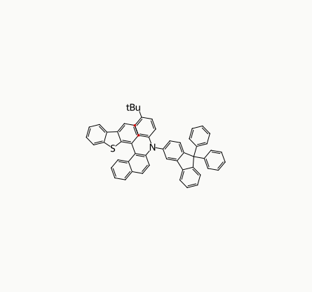 CC(C)(C)c1ccc(N(c2ccc3c(c2)-c2ccccc2C3(c2ccccc2)c2ccccc2)c2ccc3ccccc3c2-c2cccc3c2sc2ccccc23)cc1